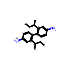 CCC(C)c1cc(N)ccc1-c1ccc(N)cc1C(C)CC